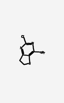 [CH2]CCc1nc(Cl)nc2c1SCC2